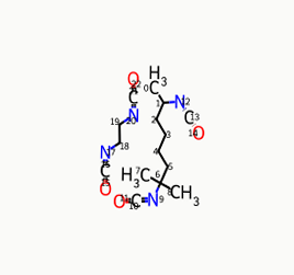 CC(CCCCC(C)(C)N=C=O)N=C=O.O=C=NCCN=C=O